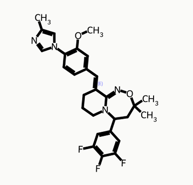 COc1cc(/C=C2\CCCN3C2=NOC(C)(C)CC3c2cc(F)c(F)c(F)c2)ccc1-n1cnc(C)c1